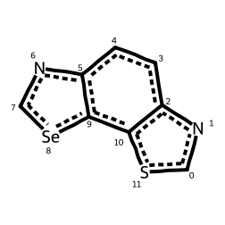 c1nc2ccc3nc[se]c3c2s1